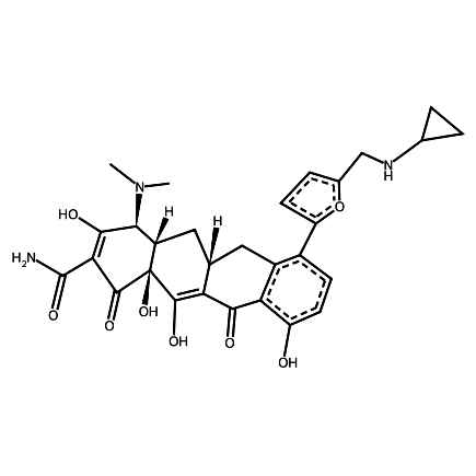 CN(C)[C@@H]1C(O)=C(C(N)=O)C(=O)[C@@]2(O)C(O)=C3C(=O)c4c(O)ccc(-c5ccc(CNC6CC6)o5)c4C[C@H]3C[C@@H]12